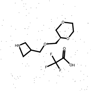 C1CO[C@@H](COCC2CNC2)CO1.O=C(O)C(F)(F)F